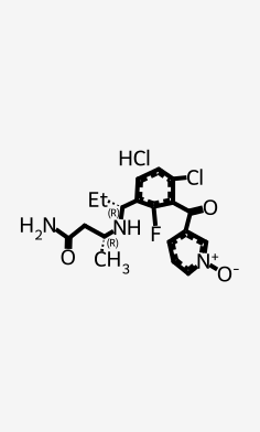 CC[C@@H](N[C@H](C)CC(N)=O)c1ccc(Cl)c(C(=O)c2ccc[n+]([O-])c2)c1F.Cl